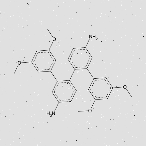 COc1cc(OC)cc(-c2cc(N)ccc2-c2ccc(N)cc2-c2cc(OC)cc(OC)c2)c1